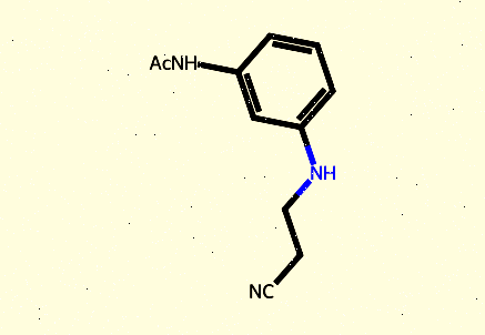 CC(=O)Nc1cccc(NCCC#N)c1